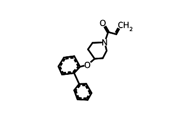 C=CC(=O)N1CCC(Oc2ccccc2-c2ccccc2)CC1